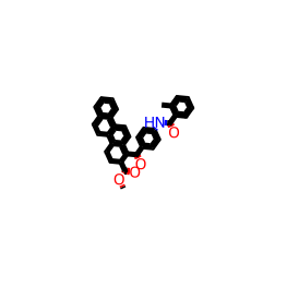 COC(=O)C1CCc2c3c(ccc2=C1C(=O)c1ccc(NC(=O)c2ccccc2C)cc1)=c1ccccc1=CC3